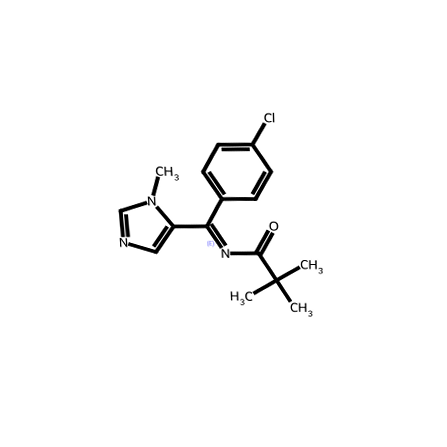 Cn1cncc1/C(=N/C(=O)C(C)(C)C)c1ccc(Cl)cc1